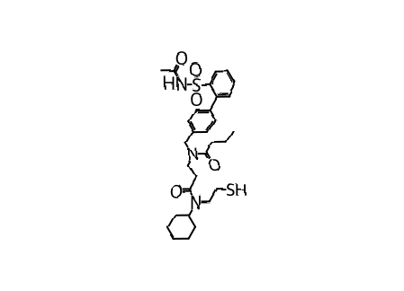 CCCC(=O)N(CCC(=O)N(CCS)C1CCCCC1)Cc1ccc(-c2ccccc2S(=O)(=O)NC(C)=O)cc1